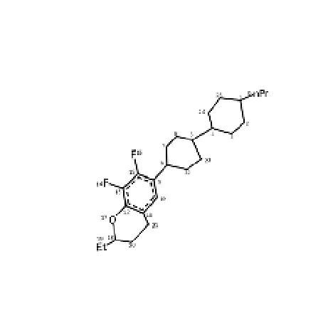 CCCC1CCC(C2CCC(c3cc4c(c(F)c3F)OC(CC)CC4)CC2)CC1